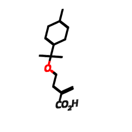 C=C(CCOC(C)(C)C1CCC(C)CC1)C(=O)O